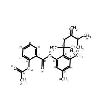 C=C(CC(C)(C)c1c(C)cc(C)cc1OC(=O)c1ccccc1OC(C)=O)C(C)C